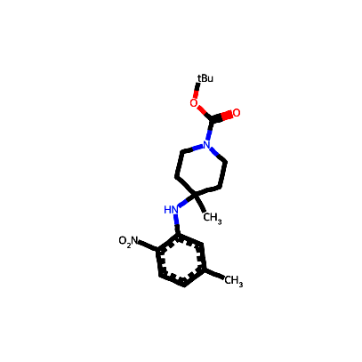 Cc1ccc([N+](=O)[O-])c(NC2(C)CCN(C(=O)OC(C)(C)C)CC2)c1